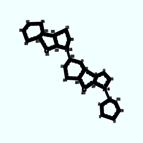 c1ccc(-n2ccc3c4cc(-n5ccc6c7ccccc7oc65)ccc4oc32)cc1